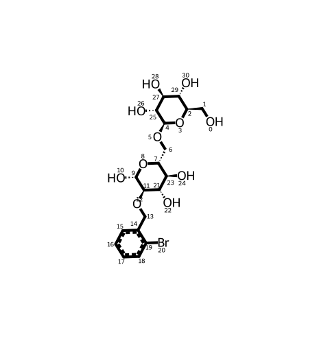 OC[C@H]1O[C@@H](OC[C@H]2O[C@@H](O)[C@H](OCc3ccccc3Br)[C@@H](O)[C@@H]2O)[C@H](O)[C@@H](O)[C@@H]1O